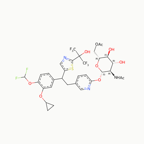 CC(=O)N[C@H]1[C@H](Oc2ccc(CC(c3ccc(OC(F)F)c(OC4CC4)c3)c3cnc(C(O)(C(F)(F)F)C(F)(F)F)s3)cn2)O[C@H](COC(C)=O)[C@@H](O)[C@@H]1O